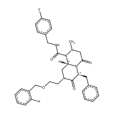 CN1CC(=O)N2[C@@H](Cc3ccccc3)C(=O)N(CCOCc3ccccc3F)C[C@@H]2N1C(=O)NCc1ccc(F)cc1